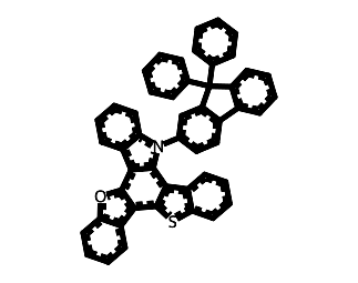 c1ccc(C2(c3ccccc3)c3ccccc3-c3ccc(-n4c5ccccc5c5c6oc7ccccc7c6c6sc7ccccc7c6c54)cc32)cc1